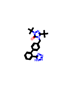 CC(C)(C)c1nn(C(C)(C)C)c(=O)n1Cc1ccc(-c2ccccc2-c2nnn[nH]2)cc1